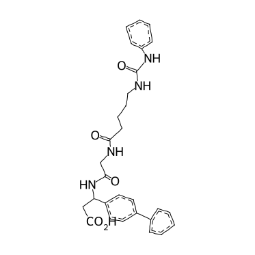 O=C(O)CC(NC(=O)CNC(=O)CCCCNC(=O)Nc1ccccc1)c1ccc(-c2ccccc2)cc1